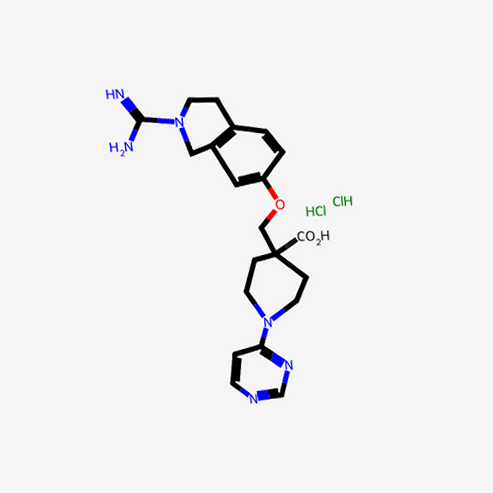 Cl.Cl.N=C(N)N1CCc2ccc(OCC3(C(=O)O)CCN(c4ccncn4)CC3)cc2C1